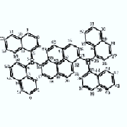 c1ccc2c(B(c3cccc4ccccc34)c3ccc4ccc5c(B(c6cccc7ccccc67)c6cccc7ccccc67)ccc6ccc3c4c65)cccc2c1